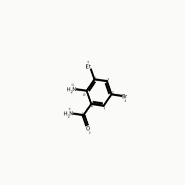 CCc1cc(Br)cc(C(N)=O)c1N